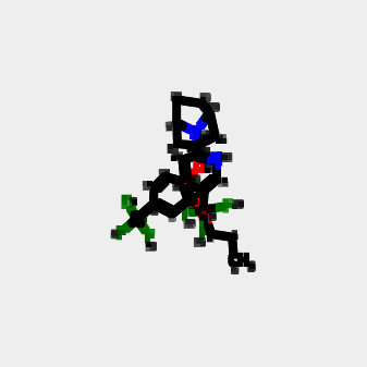 CCCOc1cc(C(F)(F)F)ccc1OC1CC2CCC(C1)N2c1ccc(C(F)(F)F)cn1